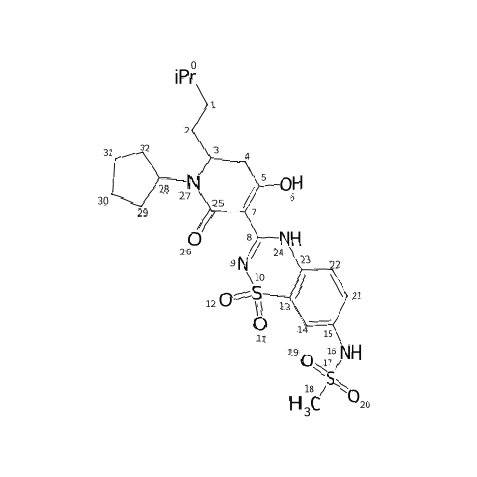 CC(C)CCC1CC(O)=C(C2=NS(=O)(=O)c3cc(NS(C)(=O)=O)ccc3N2)C(=O)N1C1CCCC1